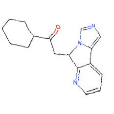 O=C(CC1c2ncccc2-c2cncn21)C1CCCCC1